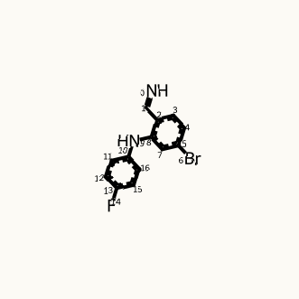 N=Cc1ccc(Br)cc1Nc1ccc(F)cc1